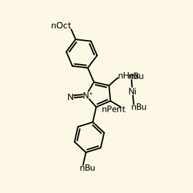 CCCCCCCCc1ccc(C2=C(CCCCCC)C(CCCCC)=C(c3ccc(CCCC)cc3)[N+]2=[N-])cc1.CCC[CH2][Ni][CH2]CCC